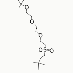 CC(C)(C)CCS(=O)(=O)CCOCCOCCOC(C)(C)C